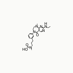 CCNc1ncc2c(n1)N(C)CCN(c1cccc(CCCN(C)C(=O)O)c1)C2=O